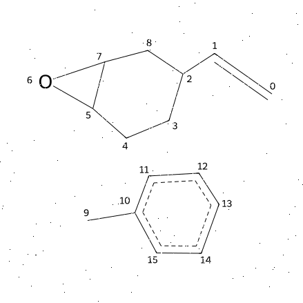 C=CC1CCC2OC2C1.Cc1ccccc1